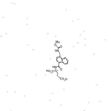 CC(C)(C)OC(=O)NCc1ccc(C(=O)N[C@@H](CCC(=O)O)C(=O)O)c2ccccc12